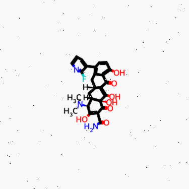 CN(C)[C@@H]1C(O)=C(C(N)=O)C(=O)[C@@]2(O)C(O)=C3C(=O)c4c(O)ccc(-c5cccnc5F)c4C[C@H]3C[C@@H]12